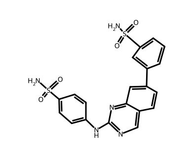 NS(=O)(=O)c1ccc(Nc2ncc3ccc(-c4cccc(S(N)(=O)=O)c4)cc3n2)cc1